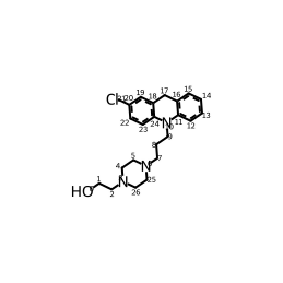 OCCN1CCN(CCCN2c3ccccc3Cc3cc(Cl)ccc32)CC1